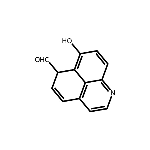 O=CC1C=Cc2ccnc3ccc(O)c1c23